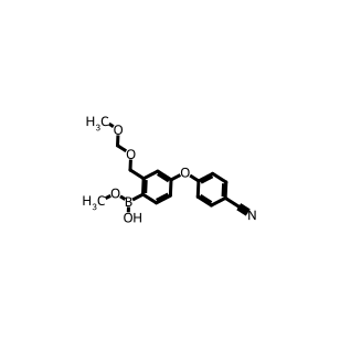 COCOCc1cc(Oc2ccc(C#N)cc2)ccc1B(O)OC